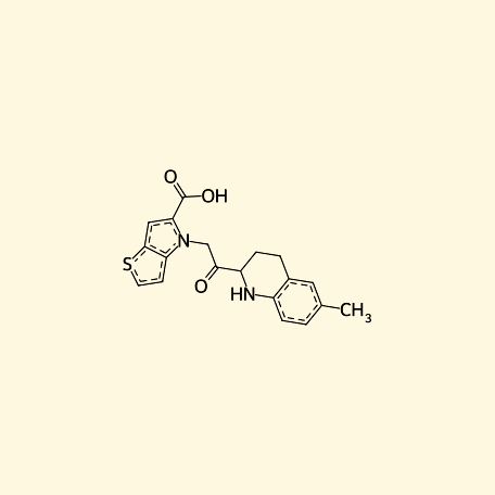 Cc1ccc2c(c1)CCC(C(=O)Cn1c(C(=O)O)cc3sccc31)N2